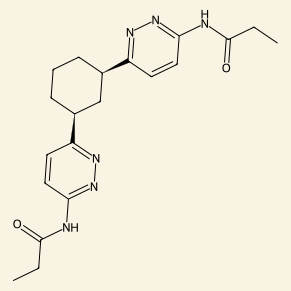 CCC(=O)Nc1ccc([C@@H]2CCC[C@H](c3ccc(NC(=O)CC)nn3)C2)nn1